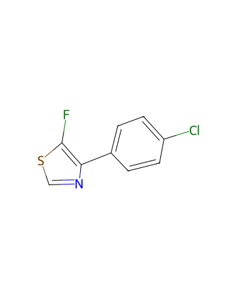 Fc1scnc1-c1ccc(Cl)cc1